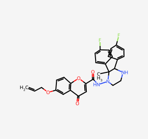 C=CCOc1ccc2oc(C(=O)NN3CCNC(c4ccc(F)cc4)C3(C)c3ccc(F)cc3)cc(=O)c2c1